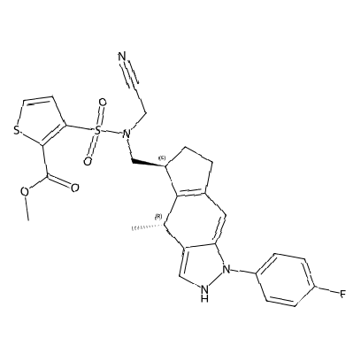 COC(=O)c1sccc1S(=O)(=O)N(CC#N)C[C@H]1CCC2=C1[C@@H](C)C1=CNN(c3ccc(F)cc3)C1=C2